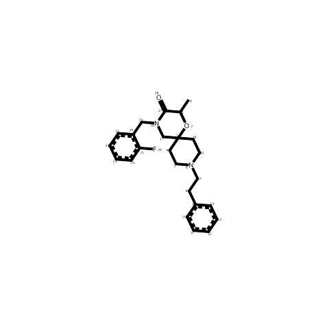 CC1OC2(CCN(CCc3ccccc3)CC2)CN(Cc2ccccc2F)C1=O